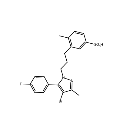 Cc1ccc(S(=O)(=O)O)cc1CCCn1nc(C)c(Br)c1-c1ccc(F)cc1